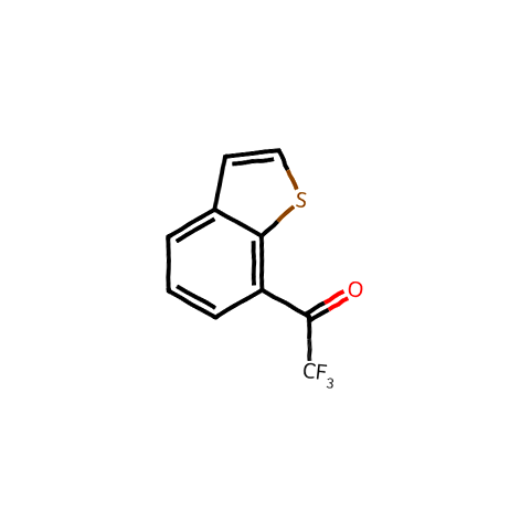 O=C(c1cccc2ccsc12)C(F)(F)F